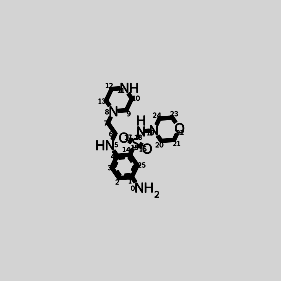 Nc1ccc(NCCN2CCNCC2)c(S(=O)(=O)NN2CCOCC2)c1